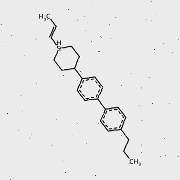 C/C=C/[SiH]1CCC(c2ccc(-c3ccc(CCC)cc3)cc2)CC1